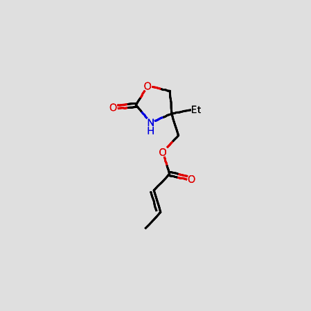 C/C=C/C(=O)OCC1(CC)COC(=O)N1